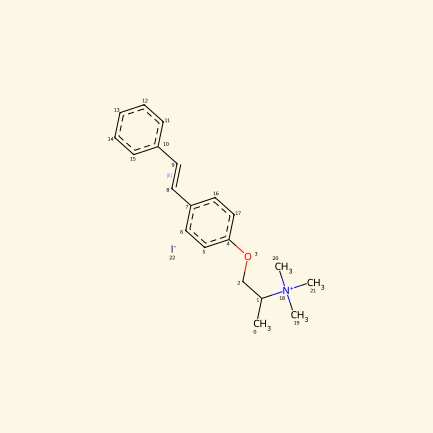 CC(COc1ccc(/C=C/c2ccccc2)cc1)[N+](C)(C)C.[I-]